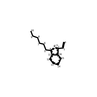 C=Cc1sc(CCCCCC)c2ccccc12